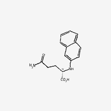 NC(=O)CC[C@H](Nc1ccc2ccccc2c1)C(=O)O